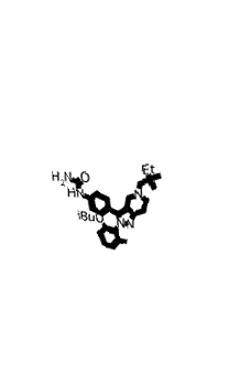 CCC(C)(C)CN1CCc2nn(-c3c(C)cccc3OCC(C)C)c(-c3ccc(NC(N)=O)cc3)c2C1